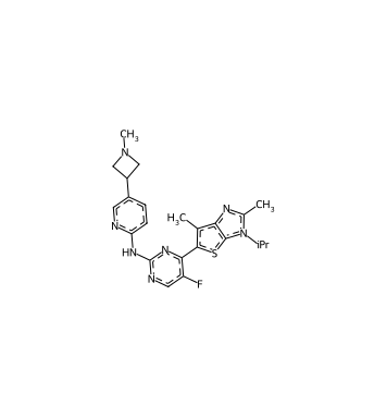 Cc1c(-c2nc(Nc3ccc(C4CN(C)C4)cn3)ncc2F)sc2c1nc(C)n2C(C)C